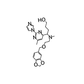 Cc1cc(C(CCCO)N(C)CCOCc2ccc3c(c2)OCO3)nc(-n2ccnc2)n1